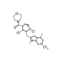 Cc1cc(C(F)(F)F)cc2c1cc(Cc1c(Cl)ncc(C(=O)N3CCOCC3)c1Cl)n2C